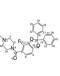 CN1CCN(C(=O)c2ccc3c(c2F)OC(c2ccccc2)(c2ccccc2)O3)CC1